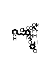 Clc1ccc(OCc2nc3c(CCCC4CCCCN4)c(Cl)c(Cl)cc3[nH]2)c(Cl)c1.O=C(O)C(F)(F)F